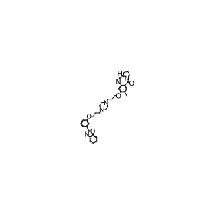 Cc1cc2c(cc1OCCCN1CCN(CCCOc3cccc(-c4nc5ccccc5o4)c3)CC1)N=C[C@@H]1CCCN1C2=O